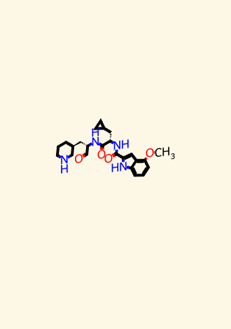 COc1cccc2[nH]c(C(=O)N[C@@H](CC3CC3)C(=O)N[C@H](C=O)C[C@@H]3CCCNC3)cc12